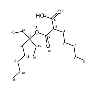 CCCCCC(C(=O)O)C(=O)OC(CC)(CC)CCCCC